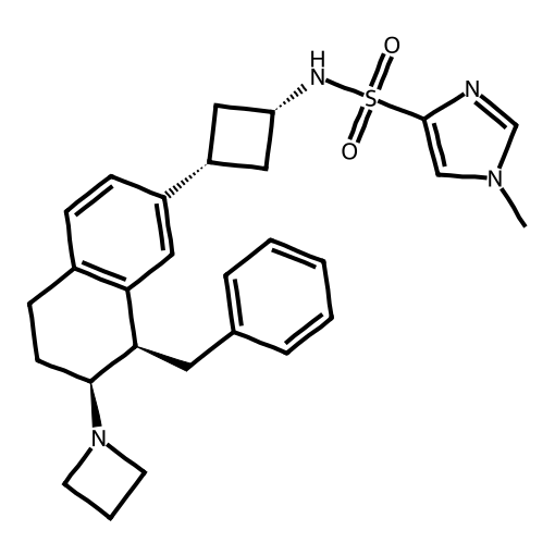 Cn1cnc(S(=O)(=O)N[C@H]2C[C@@H](c3ccc4c(c3)[C@@H](Cc3ccccc3)[C@@H](N3CCC3)CC4)C2)c1